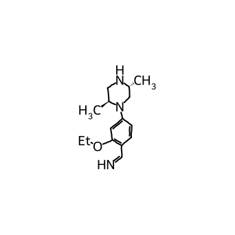 CCOc1cc(N2C[C@@H](C)NC[C@@H]2C)ccc1C=N